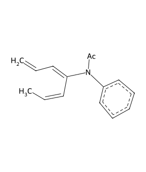 C=C/C=C(\C=C/C)N(C(C)=O)c1ccccc1